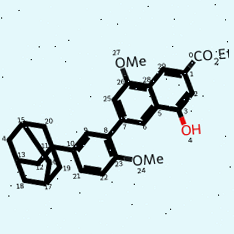 CCOC(=O)c1cc(O)c2cc(-c3cc(C45CC6CC(CC(C6)C4)C5)ccc3OC)cc(OC)c2c1